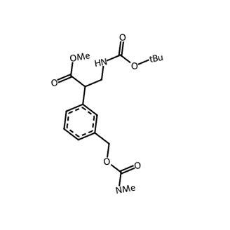 CNC(=O)OCc1cccc(C(CNC(=O)OC(C)(C)C)C(=O)OC)c1